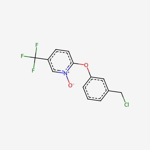 [O-][n+]1cc(C(F)(F)F)ccc1Oc1cccc(CCl)c1